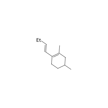 CCC=CC1=C(C)CC(C)CC1